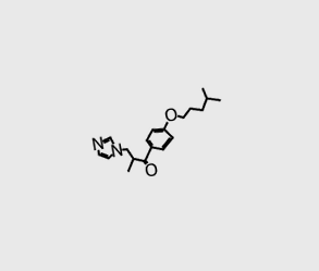 CC(C)CCCOc1ccc(C(=O)C(C)Cn2ccnc2)cc1